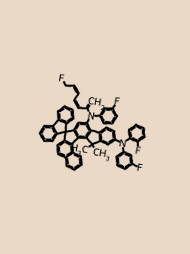 C=C(/C=C\C=C/CF)N(c1cccc(F)c1)c1cc2c(c3c1-c1ccc(N(c4cccc(F)c4)c4ccccc4F)cc1C3(C)C)-c1c(ccc3ccccc13)C21c2ccccc2-c2ccccc21